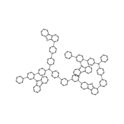 c1ccc(-c2ccc(-c3ccc(N(c4ccccc4)c4ccc(-c5cccc(-c6cccc7c6oc6cc(-c8cccc(-c9cccc(-c%10ccc(N(c%11ccc(-c%12ccc(-c%13cccc%14c%13oc%13ccccc%13%14)cc%12)cc%11)c%11ccc(-c%12ccc(-c%13ccccc%13)cc%12-n%12c%13ccccc%13c%13ccccc%13%12)cc%11)cc%10)c9)c8)ccc67)c5)cc4)cc3)c(-n3c4ccccc4c4ccccc43)c2)cc1